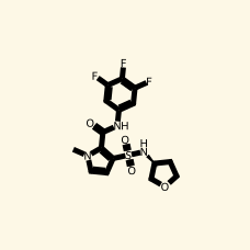 Cn1ccc(S(=O)(=O)N[C@H]2CCOC2)c1C(=O)Nc1cc(F)c(F)c(F)c1